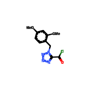 COc1ccc(Cn2nnnc2C(=O)Cl)c(OC)c1